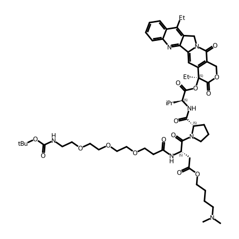 CCc1c2c(nc3ccccc13)-c1cc3c(c(=O)n1C2)COC(=O)[C@@]3(CC)OC(=O)[C@@H](NC(=O)[C@@H]1CCCN1C(=O)[C@H](CC(=O)OCCCCN(C)C)NC(=O)CCOCCOCCOCCNC(=O)OC(C)(C)C)C(C)C